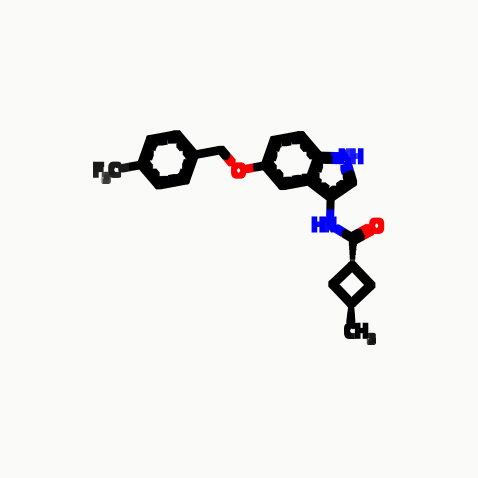 C[C@H]1C[C@H](C(=O)Nc2c[nH]c3ccc(OCc4ccc(C(F)(F)F)cc4)cc23)C1